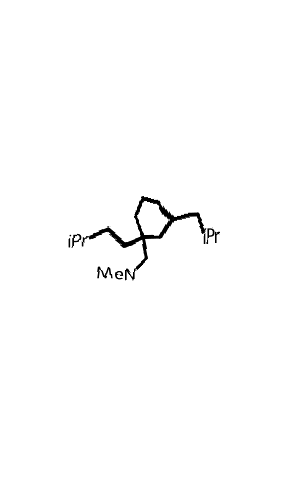 CNCC1(CCC(C)C)CCCC(CC(C)C)C1